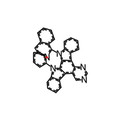 c1ccc(-n2c3ccccc3c3c4cncnc4c4c5ccccc5n(-c5nccc6ccccc56)c4c32)cc1